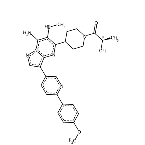 CBc1c(C2CCN(C(=O)[C@@H](C)O)CC2)nc2c(-c3ccc(-c4ccc(OC(F)(F)F)cc4)nc3)cnn2c1N